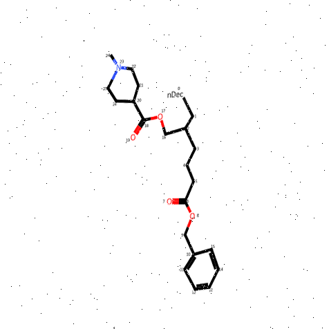 CCCCCCCCCCCC(CCCC(=O)OCc1ccccc1)COC(=O)C1CCN(C)CC1